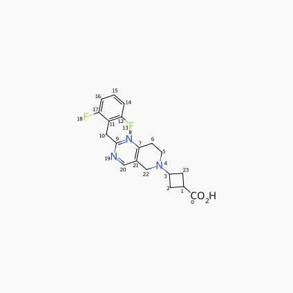 O=C(O)C1CC(N2CCc3nc(Cc4c(F)cccc4F)ncc3C2)C1